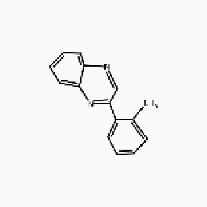 Cc1ccccc1-c1cnc2ccccc2n1